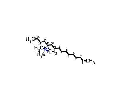 CCCCCCCCCCCC(CCCC)[N+](C)(C)C